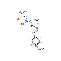 COC(=O)CN(N)c1cccc(OCc2ccc(OC)cc2)c1